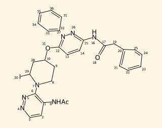 CC(=O)Nc1ccnnc1N1CCC(Oc2ccc(NC(=O)Cc3ccccc3)nn2)CC1I.c1ccccc1